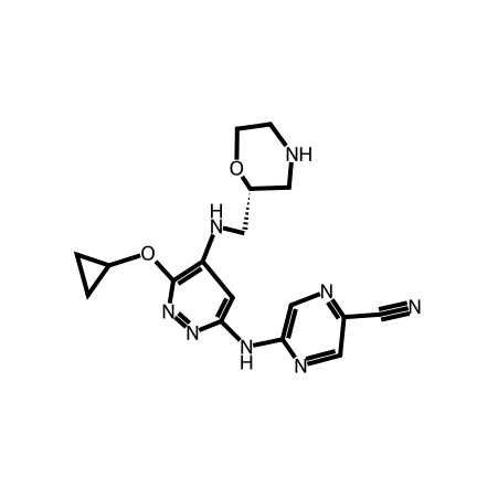 N#Cc1cnc(Nc2cc(NC[C@H]3CNCCO3)c(OC3CC3)nn2)cn1